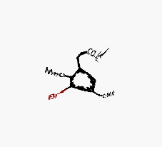 COc1cc(Br)c(OC)c(CC(=O)O)c1